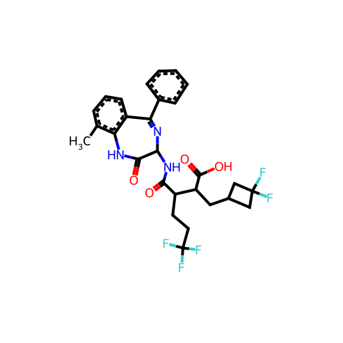 Cc1cccc2c1NC(=O)C(NC(=O)C(CCC(F)(F)F)C(CC1CC(F)(F)C1)C(=O)O)N=C2c1ccccc1